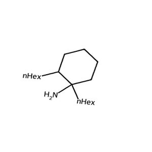 CCCCCCC1CCCCC1(N)CCCCCC